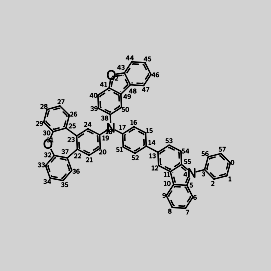 c1ccc(-n2c3ccccc3c3cc(-c4ccc(N(c5ccc6c(c5)-c5ccccc5Oc5ccccc5-6)c5ccc6oc7ccccc7c6c5)cc4)ccc32)cc1